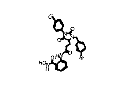 O=C(CCC1C(=O)N(c2ccc(Cl)cc2)C(=O)N1Cc1ccc(Br)cc1)Nc1ccccc1C(=O)NO